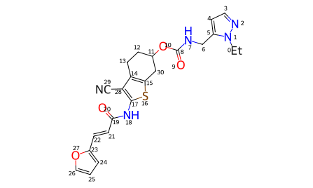 CCn1nccc1CNC(=O)OC1CCc2c(sc(NC(=O)C=Cc3ccco3)c2C#N)C1